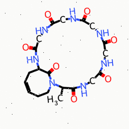 CC1C(=O)NCC(=O)NCC(=O)NCC(=O)NCC(=O)NCC(=O)NC2CC=CCCN1C2=O